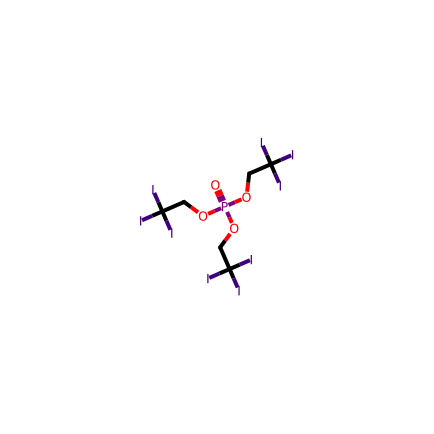 O=P(OCC(I)(I)I)(OCC(I)(I)I)OCC(I)(I)I